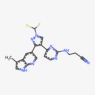 Cc1c[nH]c2ncc(-c3nn(C(F)F)cc3-c3ccnc(NCCC#N)n3)cc12